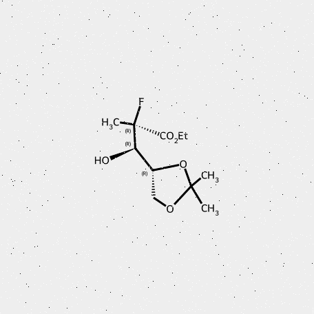 CCOC(=O)[C@](C)(F)[C@H](O)[C@H]1COC(C)(C)O1